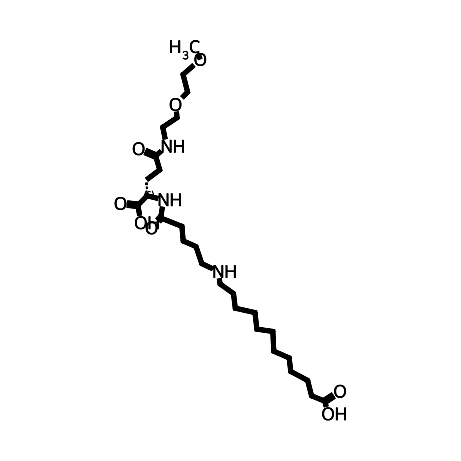 COCCOCCNC(=O)CC[C@H](NC(=O)CCCCNCCCCCCCCCCCC(=O)O)C(=O)O